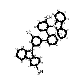 N#Cc1cc(-c2ccccc2-c2cccc(C#N)c2-n2c3ccccc3c3ccccc32)cc(-n2c3ccccc3c3cc(C#N)ccc32)c1